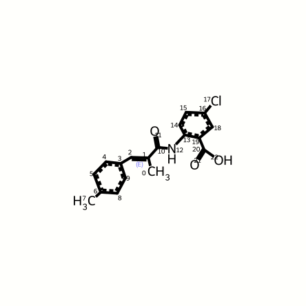 C/C(=C\c1ccc(C)cc1)C(=O)Nc1ccc(Cl)cc1C(=O)O